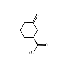 CC(C)(C)C(=O)[C@H]1CCCC(=O)C1